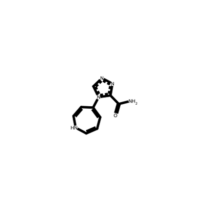 NC(=O)c1nncn1C1=CC=CNC=C1